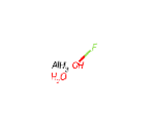 O.OF.[AlH3]